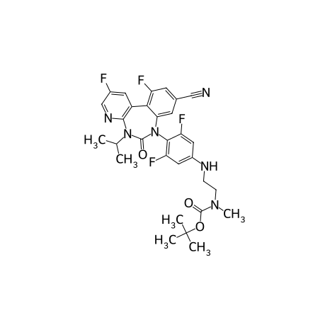 CC(C)N1C(=O)N(c2c(F)cc(NCCN(C)C(=O)OC(C)(C)C)cc2F)c2cc(C#N)cc(F)c2-c2cc(F)cnc21